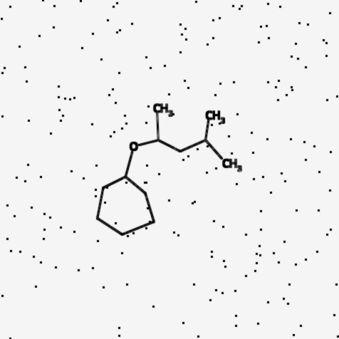 CC(C)CC(C)OC1CCCCC1